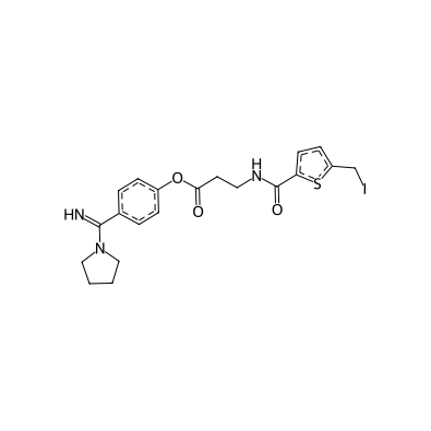 N=C(c1ccc(OC(=O)CCNC(=O)c2ccc(CI)s2)cc1)N1CCCC1